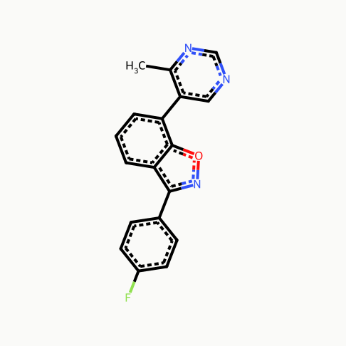 Cc1ncncc1-c1cccc2c(-c3ccc(F)cc3)noc12